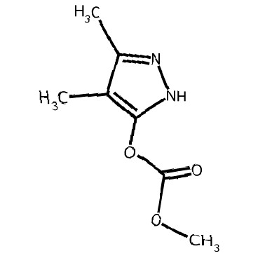 COC(=O)Oc1[nH]nc(C)c1C